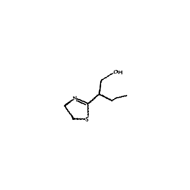 CCC(CO)C1=NCCS1